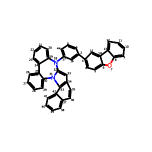 c1cc(-c2ccc3oc4ccccc4c3c2)cc(N2c3ccccc3-c3ccccc3-n3c2cc2ccc4ccccc4c23)c1